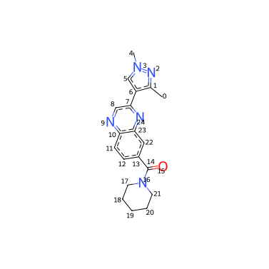 Cc1nn(C)cc1-c1cnc2ccc(C(=O)N3CCCCC3)cc2n1